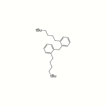 CC(C)(C)CCCCc1ccccc1Cc1ccccc1CCCCC(C)(C)C